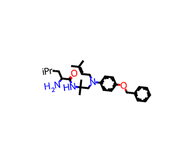 CC(C)=CCN(CC(C)(C)NC(=O)C(N)CC(C)C)c1ccc(OCc2ccccc2)cc1